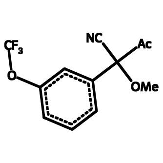 COC(C#N)(C(C)=O)c1cccc(OC(F)(F)F)c1